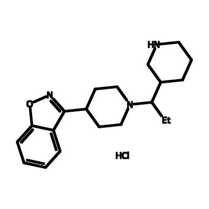 CCC(C1CCCNC1)N1CCC(c2noc3ccccc23)CC1.Cl